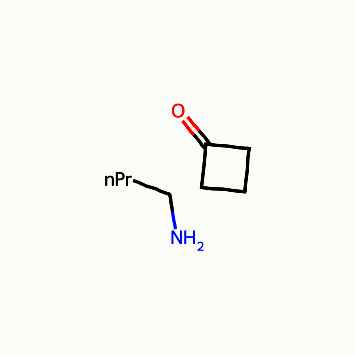 CCCCN.O=C1CCC1